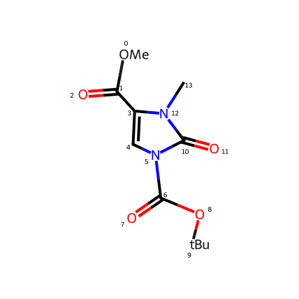 COC(=O)c1cn(C(=O)OC(C)(C)C)c(=O)n1C